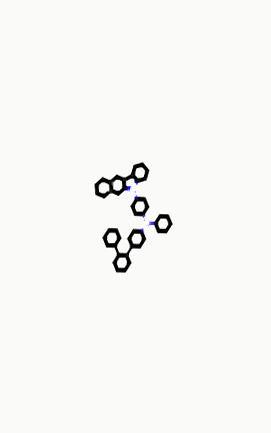 c1ccc(-c2ccccc2-c2ccc(N(c3ccccc3)c3ccc(-n4c5ccccc5c5cc6ccccc6cc54)cc3)cc2)cc1